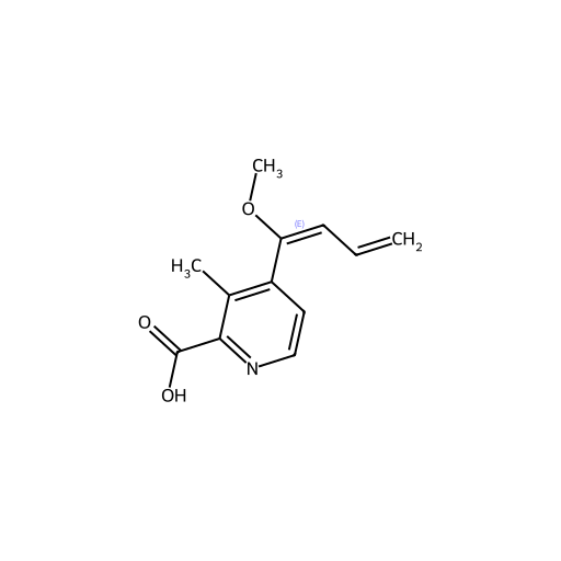 C=C/C=C(/OC)c1ccnc(C(=O)O)c1C